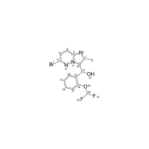 Cc1nc2ccc(Br)nn2c1C(O)c1ccccc1OC(F)F